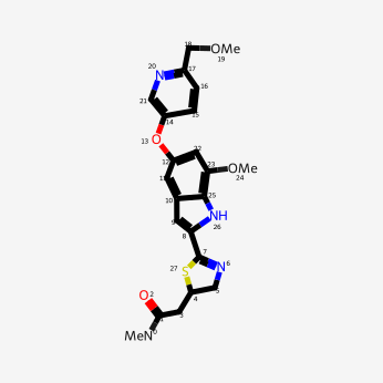 CNC(=O)CC1CN=C(c2cc3cc(Oc4ccc(COC)nc4)cc(OC)c3[nH]2)S1